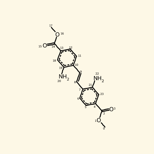 COC(=O)c1ccc(/C=C/c2ccc(C(=O)OC)cc2N)c(N)c1